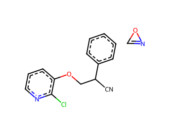 C1=NO1.N#CC(COc1cccnc1Cl)c1ccccc1